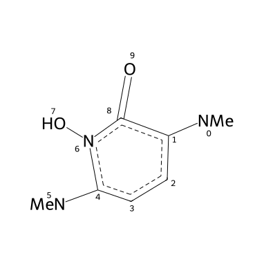 CNc1ccc(NC)n(O)c1=O